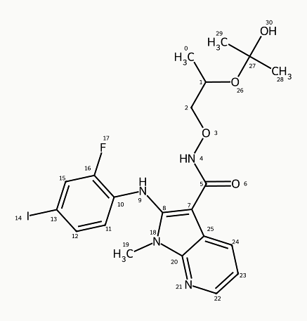 CC(CONC(=O)c1c(Nc2ccc(I)cc2F)n(C)c2ncccc12)OC(C)(C)O